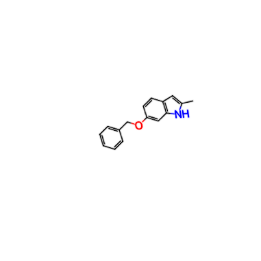 Cc1cc2ccc(OCc3ccccc3)cc2[nH]1